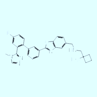 Cn1cnnc1-c1cc(F)ccc1-c1cccc(-c2nc3cc(CNCC4(O)CCC4)ccc3o2)c1